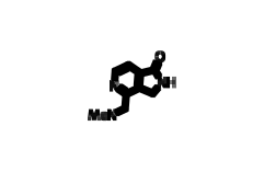 CNCc1nccc2c1CNC2=O